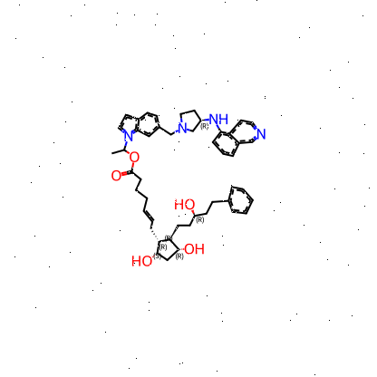 CC(OC(=O)CCCC=CC[C@@H]1[C@@H](CC[C@@H](O)CCc2ccccc2)[C@H](O)C[C@@H]1O)n1ccc2ccc(CN3CC[C@@H](Nc4cccc5cnccc45)C3)cc21